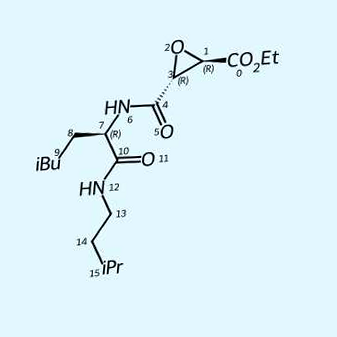 CCOC(=O)[C@@H]1O[C@H]1C(=O)N[C@H](CC(C)CC)C(=O)NCCC(C)C